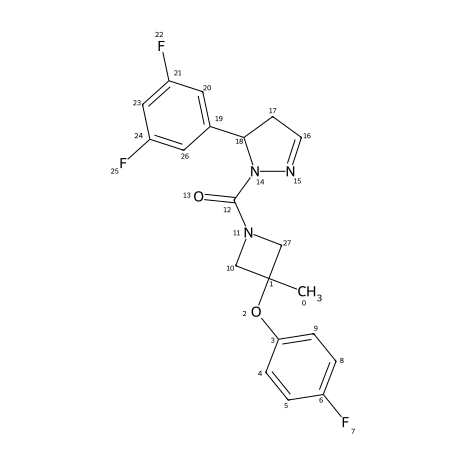 CC1(Oc2ccc(F)cc2)CN(C(=O)N2N=CCC2c2cc(F)cc(F)c2)C1